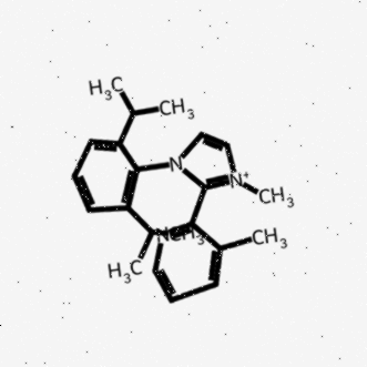 Cc1cccnc1-c1n(-c2c(C(C)C)cccc2C(C)C)cc[n+]1C